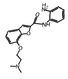 CN(C)CCOc1cccc2cc(C(=O)Nc3ccccc3N)oc12